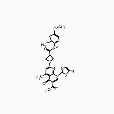 COC1=CN=C(NC(=O)C2CN(c3cc(C)c4c(=O)c(C(=O)O)cn(-c5ncc(F)s5)c4n3)C2)C(C)C1